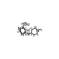 CN1CCC(Nc2cc(C(C)(C)C)ncn2)CC1